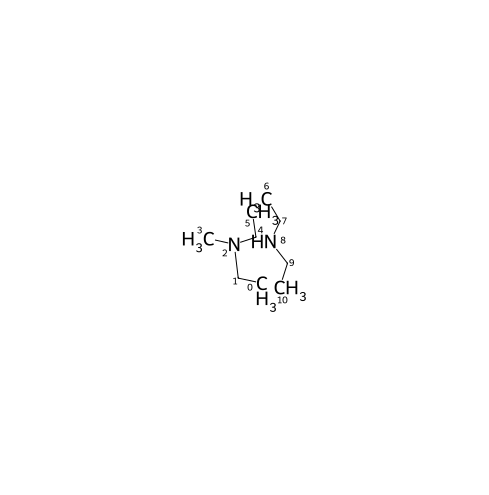 CCN(C)CC.CCNCC